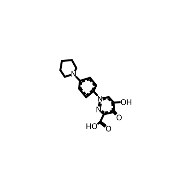 O=C(O)c1nn(-c2ccc(N3CCCCC3)cc2)cc(O)c1=O